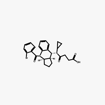 O=C(O)CCC(=O)N(C1CC1)[C@H]1c2ccccc2N(C(=O)c2ccccc2Br)[C@@H]2CCC[C@@H]21